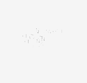 CCOC(=O)CSc1nc(SC)nc(-c2ccc(Cl)c(Cl)c2)c1C#N